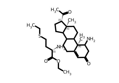 CC(=O)[C@H]1CCC2C3CCC4=CC(=O)CC(N)[C@]4(C)C3CC[C@@]21C.CCOC(=O)[C@@H](N)CCSCC